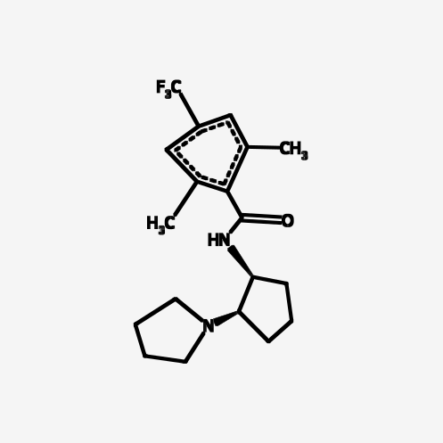 Cc1cc(C(F)(F)F)cc(C)c1C(=O)N[C@H]1CCC[C@H]1N1CCCC1